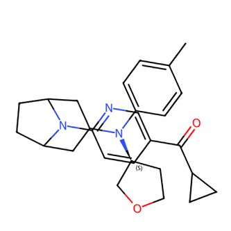 Cc1ccc(N(C2CC3CCC(C2)N3c2ccc(C(=O)C3CC3)cn2)[C@H]2CCOC2)cc1